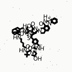 Cc1ncsc1-c1ccc([C@H](C)NC(=O)[C@@H]2C[C@@H](O)CN2C(=O)C(NC(=O)CCCCNC(=O)C23CC4CC(CC(Cn5ncc(-c6ccc(N7CCc8cccc(C(=O)Nc9nc%10ccccc%10s9)c8C7)nc6C(=O)O)c5C)(C4)C2)C3)C(C)(C)C)cc1